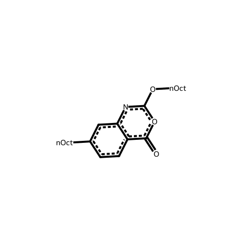 CCCCCCCCOc1nc2cc(CCCCCCCC)ccc2c(=O)o1